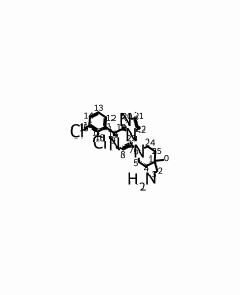 CC1(CN)CCN(c2cnc(-c3cccc(Cl)c3Cl)c3nccn23)CC1